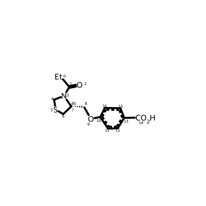 CCC(=O)N1CSC[C@H]1COc1ccc(C(=O)O)cc1